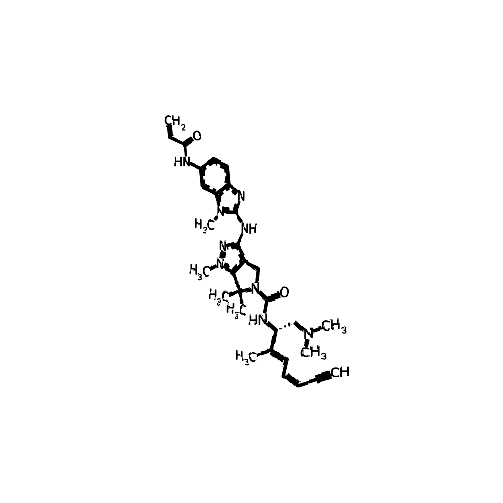 C#C/C=C\C=C(/C)[C@@H](CN(C)C)NC(=O)N1Cc2c(Nc3nc4ccc(NC(=O)C=C)cc4n3C)nn(C)c2C1(C)C